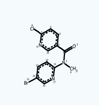 CN(C(=O)c1ccc(Cl)nc1)c1ccc(Br)cn1